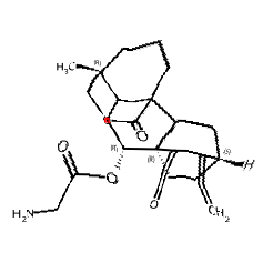 C=C1C(=O)[C@]23CC[C@H]1CC2C12CCC[C@@](C)(COC1=O)C2C[C@H]3OC(=O)CN